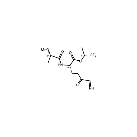 CO[C@H](C)C(=O)N[C@@H](CCC(=O)C=N)C(=O)O[C@H](C)C(F)(F)F